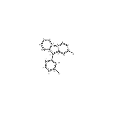 Cc1ccc2c3cccnc3n(-c3ncnc(C)n3)c2c1